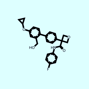 O=C(Nc1ccc(F)cc1)C1(c2ccc(-c3ccc(OC4CC4)cc3CO)cc2)COC1